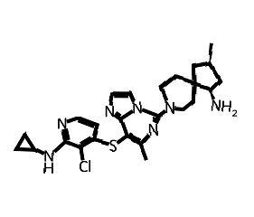 Cc1nc(N2CCC3(CC2)C[C@@H](C)C[C@H]3N)n2ccnc2c1Sc1ccnc(NC2CC2)c1Cl